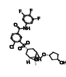 C[C@H]1CC2C[C@@H](S(=O)(=O)c3cc(C(=O)Nc4cc(F)c(F)c(F)c4)ccc3Cl)C[C@H]1[C@@]2(O)CO[C@@H]1CC[C@@H](O)C1